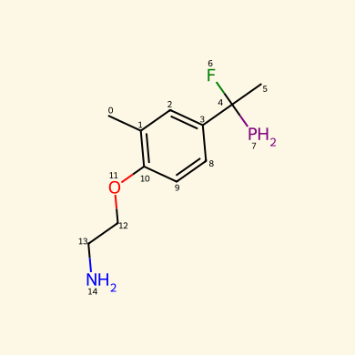 Cc1cc(C(C)(F)P)ccc1OCCN